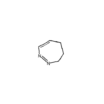 C1=CN=NCCC1